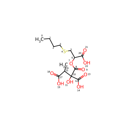 CCCCSCC(OC(=O)C(O)(C(=O)O)C(C)C(=O)O)C(=O)O